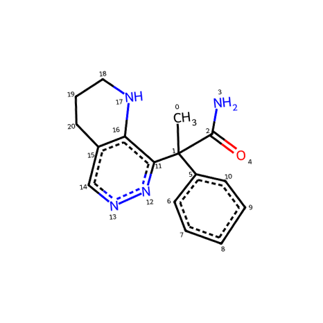 CC(C(N)=O)(c1ccccc1)c1nncc2c1NCCC2